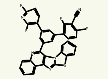 N#Cc1c(F)ccc(-c2cc(-c3ccc(F)nc3F)cc(-c3nc4ccccc4c4nc5sc6ccccc6n5c34)c2)c1F